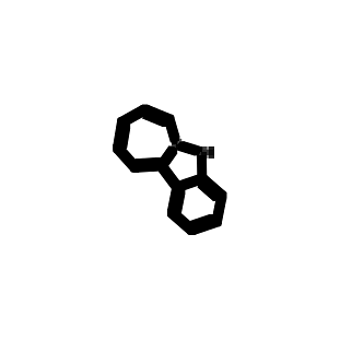 C1=CC=C2c3ccccc3NN2C=C1